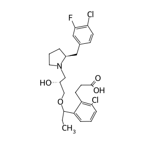 CCC(OC[C@H](O)CN1CCC[C@H]1Cc1ccc(Cl)c(F)c1)c1cccc(Cl)c1CCC(=O)O